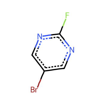 Fc1ncc(Br)cn1